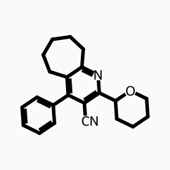 N#Cc1c(C2CCCCO2)nc2c(c1-c1ccccc1)CCCCC2